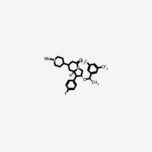 C[C@@H](O[C@H]1CN2C(=O)CC(C3CCN(C(C)(C)C)CC3)C[C@H]2C1c1ccc(F)cc1)c1cc(C(F)(F)F)cc(C(F)(F)F)c1